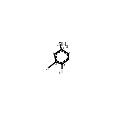 [SiH3]c1ccc(I)c(I)c1